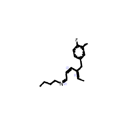 C/C=C(/C=C\C=N/CCCC)Cc1ccc(F)c(C)c1